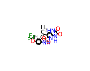 CC(C)c1cc2[nH]c(=O)c(=O)[nH]c2nc1S(=O)(=O)Nc1ccc(OC(F)(F)F)cc1